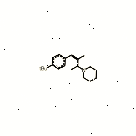 CC(=Cc1ccc(C(C)(C)C)cc1)C(C)N1CCCCC1